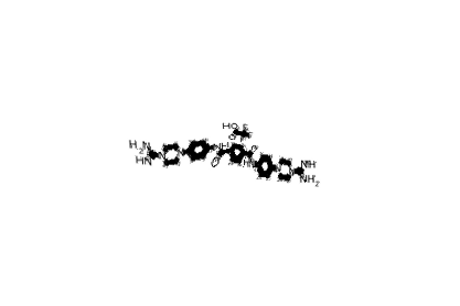 N=C(N)N1CCN(c2ccc(NC(=O)c3ccc(C(=O)Nc4ccc(N5CCN(C(=N)N)CC5)cc4)cc3)cc2)CC1.O=C(O)C(F)(F)F